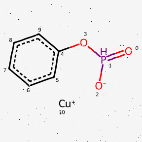 O=[PH]([O-])Oc1ccccc1.[Cu+]